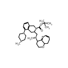 CN1CCN(c2cccc3c2CC(CN(C)C2CCOC4CCC=CN=C42)N(C(=O)OC(C)(C)C)C3)CC1